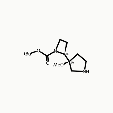 CO[C@@]1([C@@H]2CCN2C(=O)OC(C)(C)C)CCNC1